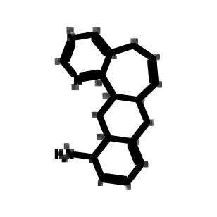 NC1C=CC=C2CC3C=CCc4cncnc4C3CC21